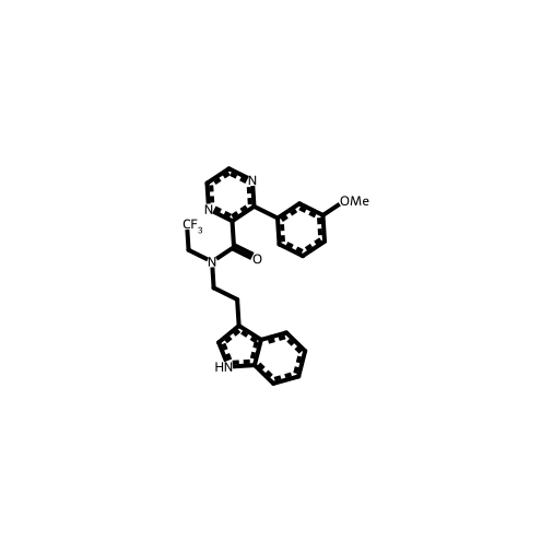 COc1cccc(-c2nccnc2C(=O)N(CCc2c[nH]c3ccccc23)CC(F)(F)F)c1